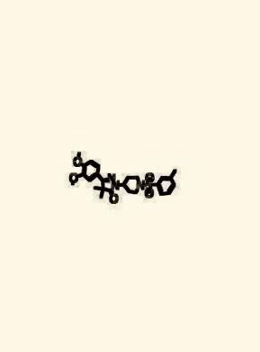 COc1ccc(C2=NN(C3CCN(S(=O)(=O)c4cccc(C)c4)CC3)C(=O)C2(C)C)cc1OC